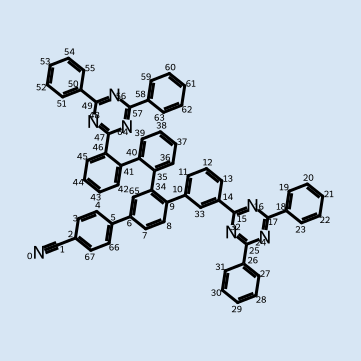 N#Cc1ccc(-c2ccc(-c3cccc(-c4nc(-c5ccccc5)nc(-c5ccccc5)n4)c3)c(-c3ccccc3-c3ccccc3-c3nc(-c4ccccc4)nc(-c4ccccc4)n3)c2)cc1